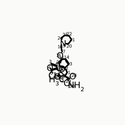 Cc1occc1S(=O)(=O)C(C)(Cc1ccc(OCCN2CCCCC2)cc1)C(=O)ON